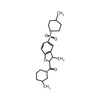 CC1CCN(S(=O)(=O)c2ccc3c(c2)C(C)C(C(=O)N2CCCC(C)C2)O3)CC1